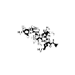 CCC1CC(NC(=O)[C@@H]2[C@@H]3[C@H](CN2C(=O)[C@@H](NC(=O)N[C@H](CN2C(=O)CC(C)(C)CC2=O)C(C)(C)C)C(C)(C)C)C3(C)C)(C(=O)C(=O)NC2CC2)C1